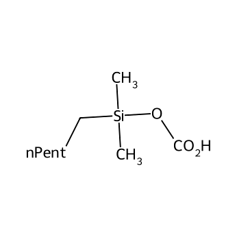 CCCCCC[Si](C)(C)OC(=O)O